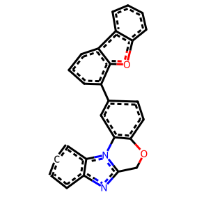 c1ccc2c(c1)nc1n2-c2cc(-c3cccc4c3oc3ccccc34)ccc2OC1